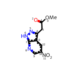 COC(=O)Cc1n[nH]c2ncc([N+](=O)[O-])cc12